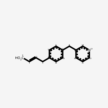 O=C(O)C=CCc1ccc(Cc2cccnc2)cc1